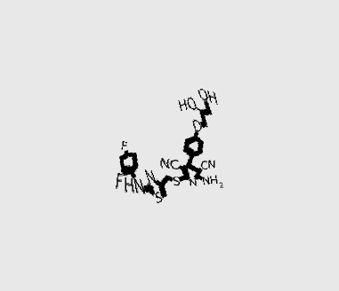 N#Cc1c(N)nc(SCc2csc(Nc3ccc(F)cc3F)n2)c(C#N)c1-c1ccc(OC[C@H](O)CO)cc1